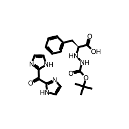 CC(C)(C)OC(=O)NN[C@@H](Cc1ccccc1)C(=O)O.O=C(c1ncc[nH]1)c1ncc[nH]1